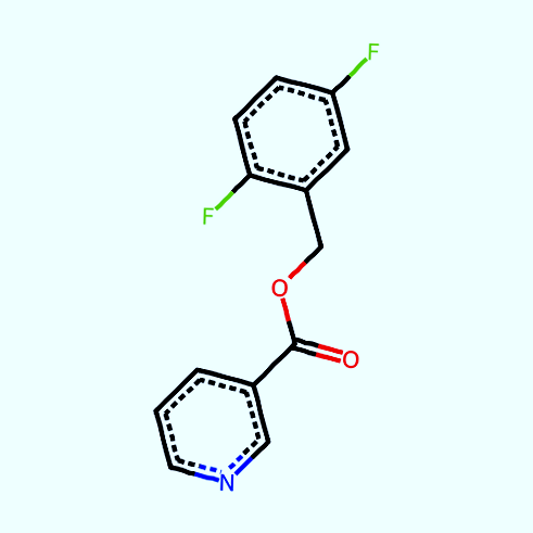 O=C(OCc1cc(F)ccc1F)c1cccnc1